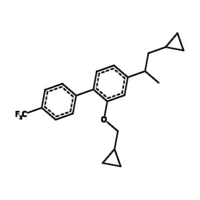 CC(CC1CC1)c1ccc(-c2ccc(C(F)(F)F)cc2)c(OCC2CC2)c1